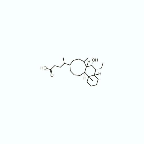 CC[C@H]1[C@@H](O)[C@H]2C(C)CCC([C@H](C)CCC(=O)O)CCC[C@@H]2[C@@]2(C)CCCC[C@@H]12